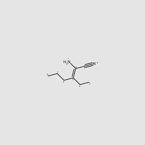 CCCC(CC)=C(N)C#N